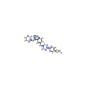 Cc1ccc(N2CCN(Cc3cccc(N(C)CN4CCCCC4)c3)CC2)cc1